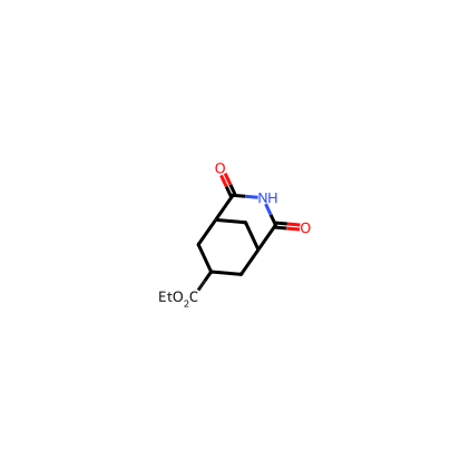 CCOC(=O)C1CC2CC(C1)C(=O)NC2=O